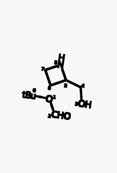 CC(C)(C)OC=O.OCC1CCN1